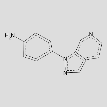 Nc1ccc(-n2ncc3ccncc32)cc1